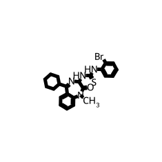 CN1C(=O)C(NC(=S)Nc2ccccc2Br)N=C(C2CCCCC2)c2ccccc21